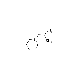 C[C](C)CN1CCCCC1